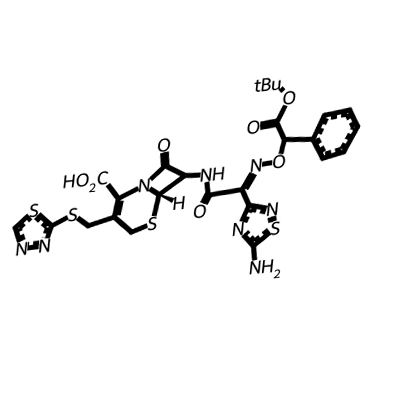 CC(C)(C)OC(=O)C(ON=C(C(=O)NC1C(=O)N2C(C(=O)O)=C(CSc3nncs3)CS[C@@H]12)c1nsc(N)n1)c1ccccc1